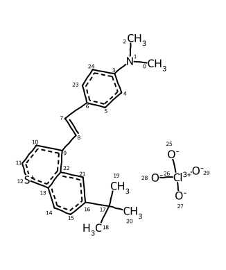 CN(C)c1ccc(C=Cc2cc[s+]c3ccc(C(C)(C)C)cc23)cc1.[O-][Cl+3]([O-])([O-])[O-]